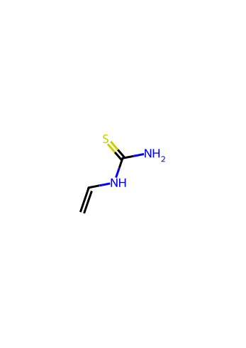 C=CNC(N)=S